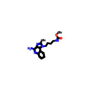 CCCCc1nc2c(N)nc3ccccc3c2n1CCCCNC(=O)OC(C)(C)C